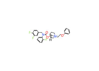 O=C(O[C@H]1C[N+]2(CCOc3ccccc3)CCC1CC2)N(Cc1ccc(F)c(F)c1)c1ccccc1F